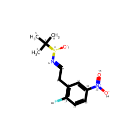 CC(C)(C)[S@@+]([O-])N=CCc1cc([N+](=O)[O-])ccc1F